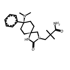 CN(C)[C@]1(c2ccccc2)CC[C@@]2(CC1)CN(CC(C)(C)C(N)=O)C(=O)N2